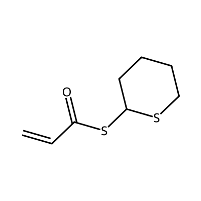 C=CC(=O)SC1CCCCS1